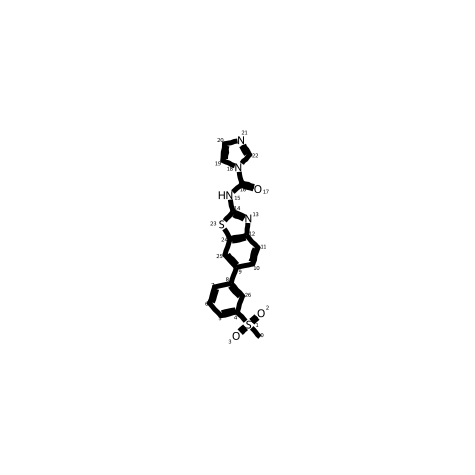 CS(=O)(=O)c1cccc(-c2ccc3nc(NC(=O)n4ccnc4)sc3c2)c1